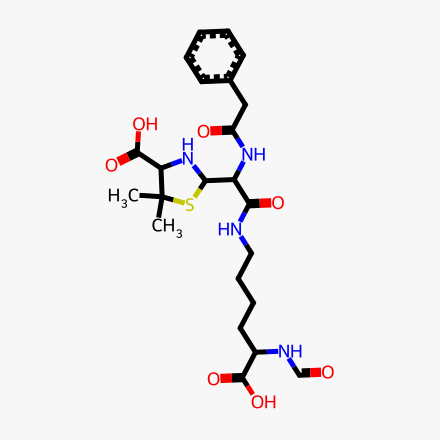 CC1(C)SC(C(NC(=O)Cc2ccccc2)C(=O)NCCCCC(NC=O)C(=O)O)NC1C(=O)O